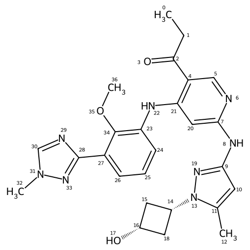 CCC(=O)c1cnc(Nc2cc(C)n([C@H]3C[C@@H](O)C3)n2)cc1Nc1cccc(-c2ncn(C)n2)c1OC